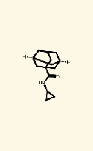 O=C(NC1CC1)C12CC3C[C@@H]([CH][C@@H](C3)C1)C2